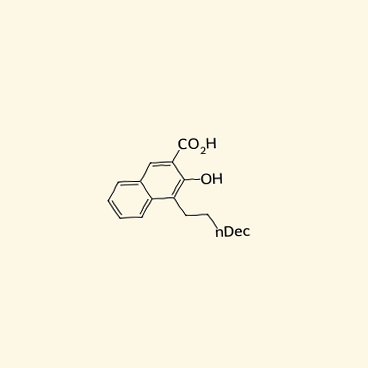 CCCCCCCCCCCCc1c(O)c(C(=O)O)cc2ccccc12